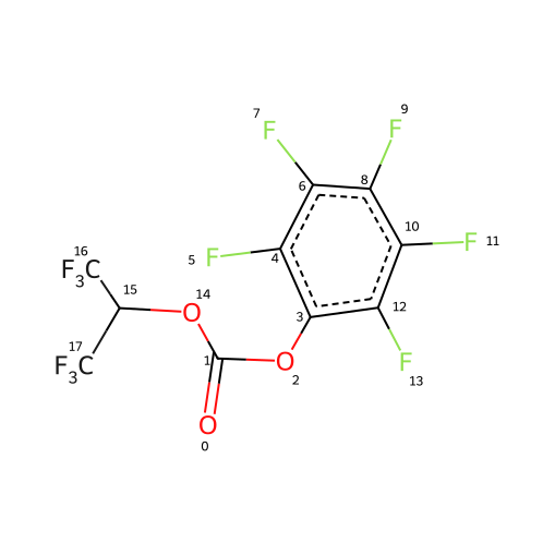 O=C(Oc1c(F)c(F)c(F)c(F)c1F)OC(C(F)(F)F)C(F)(F)F